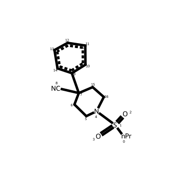 CCCS(=O)(=O)N1CCC(C#N)(c2ccccc2)CC1